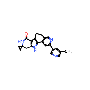 Cc1cncc(-c2cc3c(cn2)CCc2c-3[nH]c3c2C(=O)NC2(CC2)C3)c1